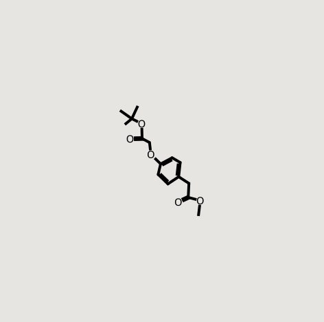 COC(=O)Cc1ccc(OCC(=O)OC(C)(C)C)cc1